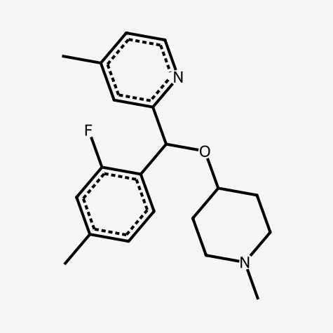 Cc1ccnc(C(OC2CCN(C)CC2)c2ccc(C)cc2F)c1